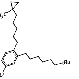 CC(C)(C)CCCCCCc1cc(O)ccc1CCCCCC1(C)CC1